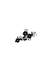 Cc1ccc(C(O)CN2CCN(c3ccc(C(N)=O)cc3Cl)[C@H](c3ccc(Cl)cc3)C2)cc1